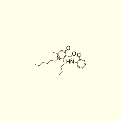 CCCCCCn1c(C)cc(=O)c(C(=O)Nc2ccccc2Cl)c1CCCC